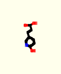 O=C(O)C=Cc1ccc(O)nc1